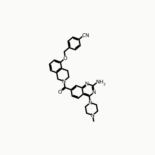 CN1CCN(c2nc(N)nc3cc(C(=O)N4CCc5c(cccc5OCc5ccc(C#N)cc5)C4)ccc23)CC1